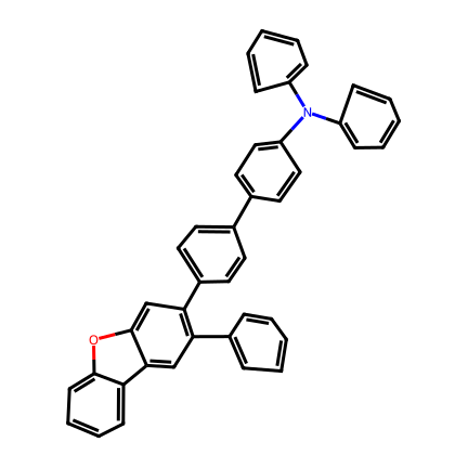 c1ccc(-c2cc3c(cc2-c2ccc(-c4ccc(N(c5ccccc5)c5ccccc5)cc4)cc2)oc2ccccc23)cc1